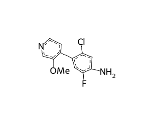 COc1cnccc1-c1cc(F)c(N)cc1Cl